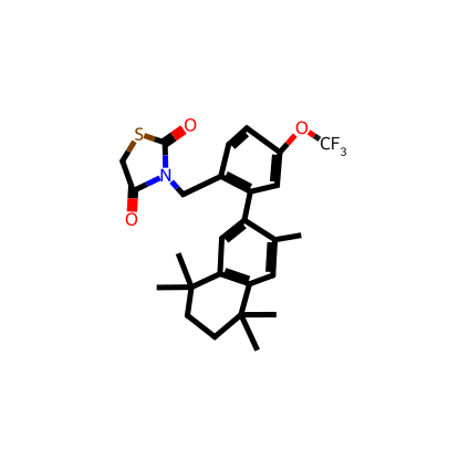 Cc1cc2c(cc1-c1cc(OC(F)(F)F)ccc1CN1C(=O)CSC1=O)C(C)(C)CCC2(C)C